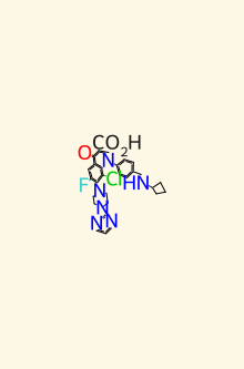 O=C(O)c1cn(-c2ccc(CNC3CCC3)cc2)c2c(Cl)c(N3CCN(c4ncccn4)CC3)c(F)cc2c1=O